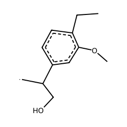 [CH2]C(CO)c1ccc(CC)c(OC)c1